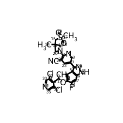 C[C@@H](Oc1cc2c(-c3cnc(N4CC(C)(CS(C)(=O)=O)C4)c(C#N)c3)n[nH]c2cc1F)c1c(Cl)cncc1Cl